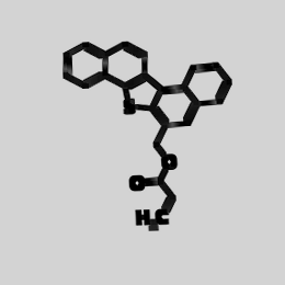 C=CC(=O)OCc1cc2ccccc2c2c1sc1c3ccccc3ccc12